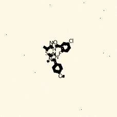 COc1ccc(-c2nnc(SC(C)c3noc(-c4cc(Cl)ccc4F)n3)n2C)cc1